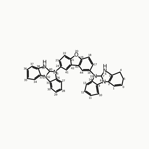 C1=CC2=C(CC1)NC1N2c2ccccc2N1c1ccc2oc3ccc(N4c5ccccc5N5c6ccccc6NC45)cc3c2c1